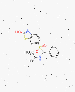 CC(C)[C@@H](NC(c1ccccc1)S(=O)(=O)c1ccc2nc(O)sc2c1)C(=O)O